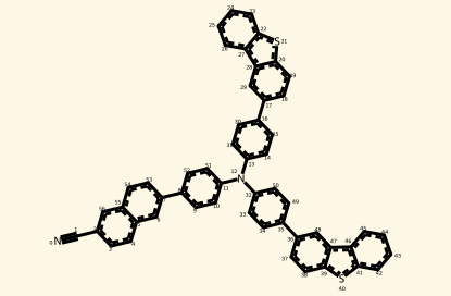 N#Cc1ccc2cc(-c3ccc(N(c4ccc(-c5ccc6sc7ccccc7c6c5)cc4)c4ccc(-c5ccc6sc7ccccc7c6c5)cc4)cc3)ccc2c1